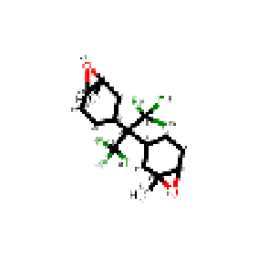 CC12CC(C(C3CCC4OC4(C)C3)(C(F)(F)F)C(F)(F)F)CCC1O2